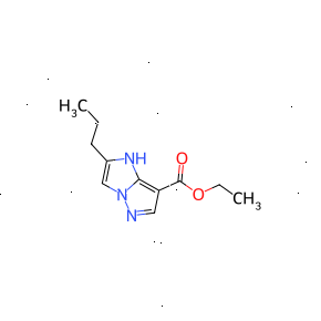 CCCc1cn2ncc(C(=O)OCC)c2[nH]1